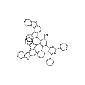 N#Cc1cc(-c2nc(-c3ccccc3)nc(-c3ccccc3)n2)c(-c2ccccc2)c(-n2c3ccccc3c3c4c(ccc32)oc2ccccc24)c1-n1c2ccccc2c2c3c(ccc21)oc1ccccc13